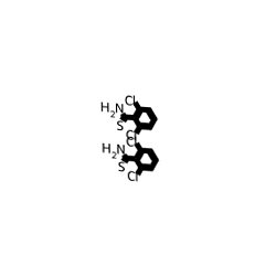 NC(=S)c1c(Cl)cccc1Cl.NC(=S)c1c(Cl)cccc1Cl